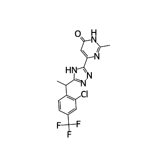 Cc1nc(-c2nnc(C(C)c3ccc(C(F)(F)F)cc3Cl)[nH]2)cc(=O)[nH]1